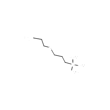 CO[Si](CCCNCCC(=O)O)(OC)OC